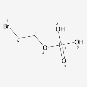 O=P(O)(O)OCCBr